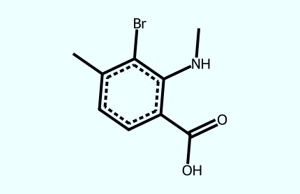 CNc1c(C(=O)O)ccc(C)c1Br